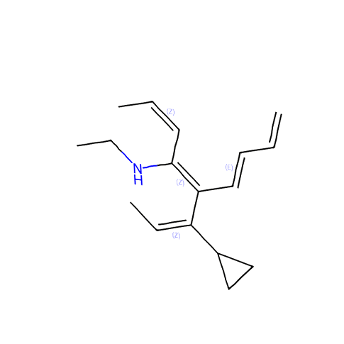 C=C/C=C/C(C(=C\C)/C1CC1)=C(\C=C/C)NCC